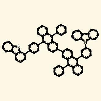 c1ccc(-c2c3ccccc3c(-c3ccc(-c4cccc5c4sc4ccccc45)cc3)c3ccc(-c4ccc5c(-c6cccc(-n7c8ccccc8c8ccccc87)c6)c6ccccc6c(-c6ccccc6)c5c4)cc23)cc1